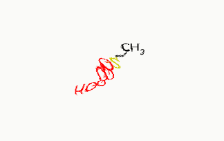 CCCSOOOOO